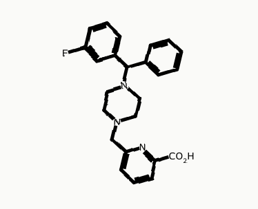 O=C(O)c1cccc(CN2CCN(C(c3ccccc3)c3cccc(F)c3)CC2)n1